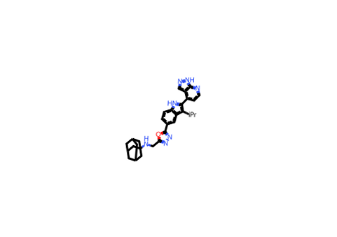 CC(C)c1c(-c2ccnc3[nH]ncc23)[nH]c2ccc(-c3nnc(CNC45CC6CC(CC(C6)C4)C5)o3)cc12